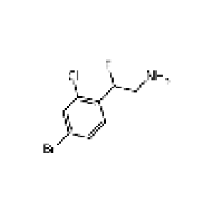 NCC(F)c1ccc(Br)cc1Cl